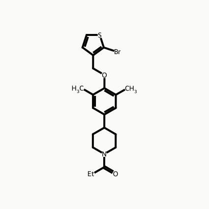 CCC(=O)N1CCC(c2cc(C)c(OCc3ccsc3Br)c(C)c2)CC1